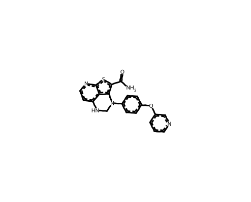 NC(=O)c1sc2nccc3c2c1N(c1ccc(Oc2cccnc2)cc1)CN3